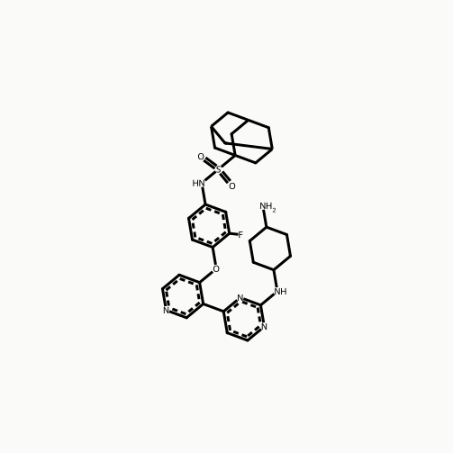 NC1CCC(Nc2nccc(-c3cnccc3Oc3ccc(NS(=O)(=O)C45CC6CC(CC(C6)C4)C5)cc3F)n2)CC1